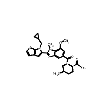 COc1cc(C(=O)N2CC(N)CC[C@@H]2C(=O)O)cc2nc(-c3cc4ccsc4n3CC3CC3)n(C)c12